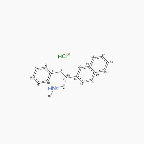 CNC[C@H](Cc1ccccc1)c1ccc2ccccc2c1.Cl